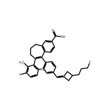 Cc1ccc(F)c(C)c1C1=C(c2ccc(C=C3CC(CCCF)C3)cc2)c2ccc(C(=O)O)cc2CCC1